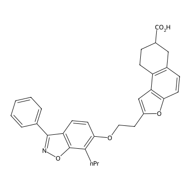 CCCc1c(OCCc2cc3c4c(ccc3o2)CC(C(=O)O)CC4)ccc2c(-c3ccccc3)noc12